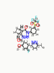 CCc1ccc(-c2cc(C(=O)N[C@@H]3[C@H]4CC[C@H](C4)[C@@H]3C(=O)Nc3cccc(S(=O)(=O)C(F)(F)F)c3)c(OC)cc2F)nn1